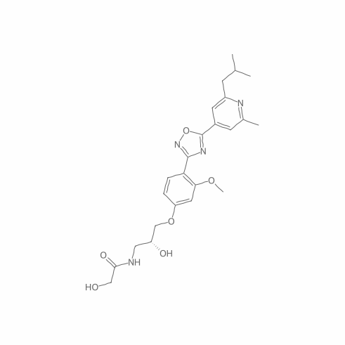 COc1cc(OC[C@H](O)CNC(=O)CO)ccc1-c1noc(-c2cc(C)nc(CC(C)C)c2)n1